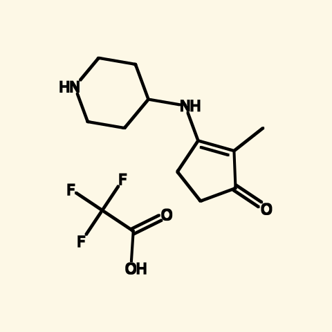 CC1=C(NC2CCNCC2)CCC1=O.O=C(O)C(F)(F)F